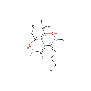 CCc1cc(CC)c(C2=C(O)C(C)(C)CCC2=O)c(CC)c1